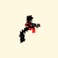 O=C(O)[C@H](O)[C@@H](OCC=CCCc1ccc2ccccc2c1)C(=O)OCc1ccccc1